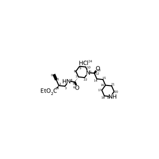 C#C[C@@H](CNC(=O)[C@@H]1CCCN(C(=O)CCC2CCNCC2)C1)C(=O)OCC.Cl